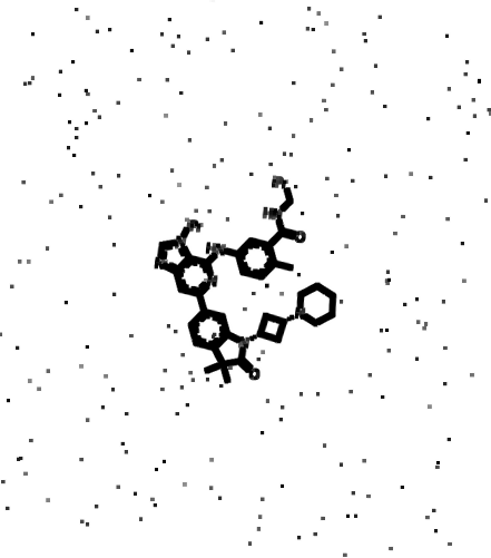 Cc1ccc(Nc2nc(-c3ccc4c(c3)N([C@H]3C[C@@H](N5CCCCC5)C3)C(=O)C4(C)C)cc3ncn(C(C)C)c23)cc1C(=O)NCC(C)C